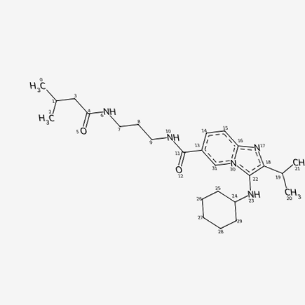 CC(C)CC(=O)NCCCNC(=O)c1ccc2nc(C(C)C)c(NC3CCCCC3)n2c1